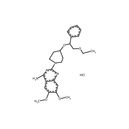 CCOCC(OC1CCN(c2nc(N)c3cc(OC)c(OC)cc3n2)CC1)c1ccccc1.Cl